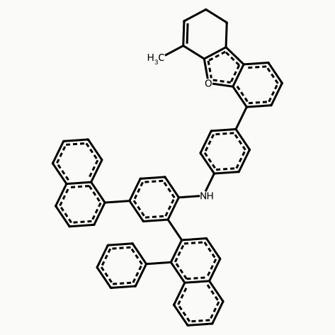 CC1=CCCc2c1oc1c(-c3ccc(Nc4ccc(-c5cccc6ccccc56)cc4-c4ccc5ccccc5c4-c4ccccc4)cc3)cccc21